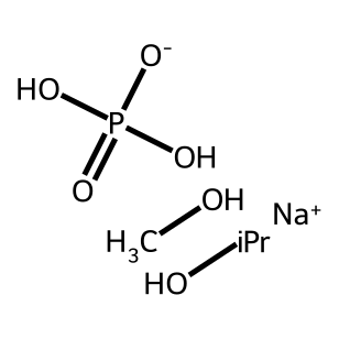 CC(C)O.CO.O=P([O-])(O)O.[Na+]